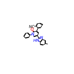 Cc1ccc2[nH]c(-c3cc(-c4ccccc4C#N)c(=O)n(-c4ccccc4)c3)nc2c1